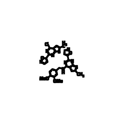 COc1ccc(CNc2nc(-c3ccno3)nc3sc(C)cc23)cc1OC.Cc1cc2c(Cl)nc(-c3ccno3)nc2s1